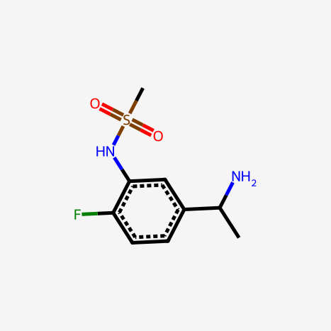 CC(N)c1ccc(F)c(NS(C)(=O)=O)c1